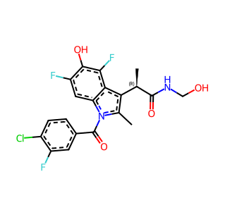 Cc1c([C@@H](C)C(=O)NCO)c2c(F)c(O)c(F)cc2n1C(=O)c1ccc(Cl)c(F)c1